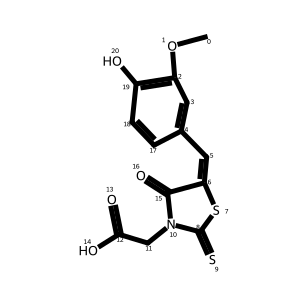 COc1cc(C=C2SC(=S)N(CC(=O)O)C2=O)ccc1O